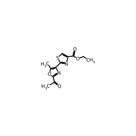 CCOC(=O)c1csc(-c2nc(C(C)=O)oc2C)n1